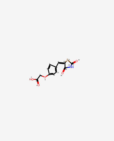 O=C(O)COc1ccc(C=C2SC(=O)NC2=O)cc1